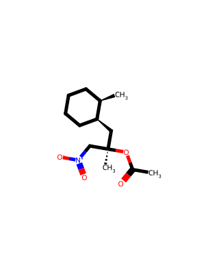 CC(=O)O[C@](C)(C[C@H]1CCCC[C@H]1C)C[N+](=O)[O-]